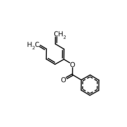 C=C/C=C\C(=C/C=C)OC(=O)c1ccccc1